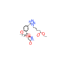 CCOC(=O)CCCCn1nnnc1-c1ccc2c(c1)[C@@H](Oc1ccc(=O)n(C)n1)[C@](C)(O)C(C)(C)O2